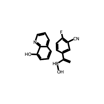 C=C(BO)c1ccc(F)c(C#N)c1.Oc1cccc2cccnc12